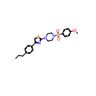 CCCc1ccc(-c2csc(N3CCN(S(=O)(=O)c4ccc(OC)cc4)CC3)n2)cc1